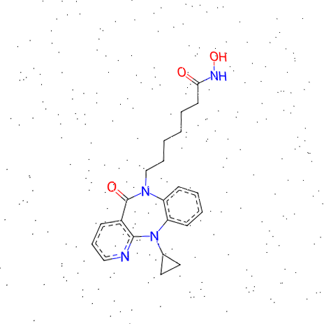 O=C(CCCCCCN1C(=O)c2cccnc2N(C2CC2)c2ccccc21)NO